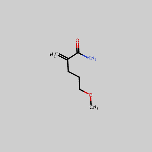 C=C(CCCOC)C(N)=O